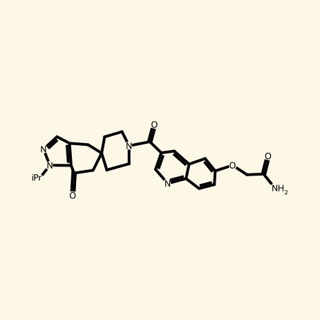 CC(C)n1ncc2c1C(=O)CC1(CCN(C(=O)c3cnc4ccc(OCC(N)=O)cc4c3)CC1)C2